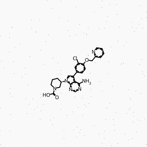 Nc1ncnc2c1c(-c1ccc(OCc3ccccn3)c(Cl)c1)cn2[C@@H]1CCCN(C(=O)O)C1